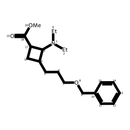 CCN(CC)C1C(CCCOCc2ccccc2)CC1C(=O)OC